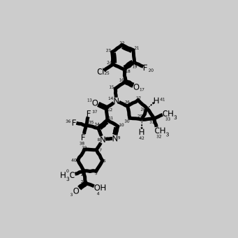 CC1(C(=O)O)CCC(n2ncc(C(=O)N(CC(=O)c3c(F)cccc3Cl)C3C[C@@H]4[C@H](C3)C4(C)C)c2C(F)(F)F)CC1